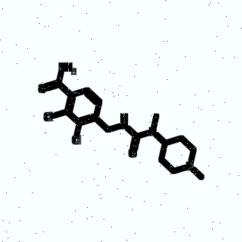 CN1CCC(N(C)C(=O)NCc2ccc(C(N)=O)c(Cl)c2Cl)CC1